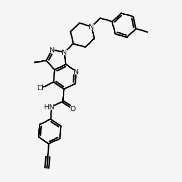 C#Cc1ccc(NC(=O)c2cnc3c(c(C)nn3C3CCN(Cc4ccc(C)cc4)CC3)c2Cl)cc1